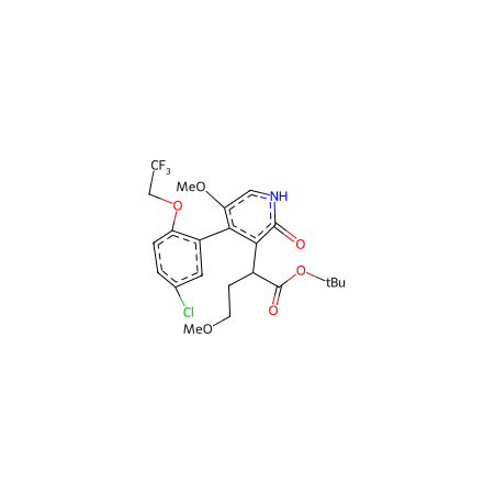 COCCC(C(=O)OC(C)(C)C)c1c(-c2cc(Cl)ccc2OCC(F)(F)F)c(OC)c[nH]c1=O